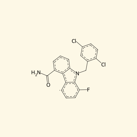 NC(=O)c1cccc2c1c1[c]ccc(F)c1n2Cc1cc(Cl)ccc1Cl